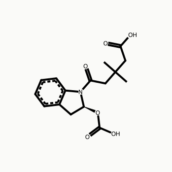 CC(C)(CC(=O)O)CC(=O)N1c2ccccc2C[C@@H]1OC(=O)O